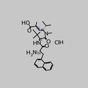 C/C(=C\[C@H](C(C)C)N(C)C(=O)[C@@H](NC(=O)[C@@H](N)Cc1cccc2ccccc12)C(C)(C)C)C(=O)O.Cl